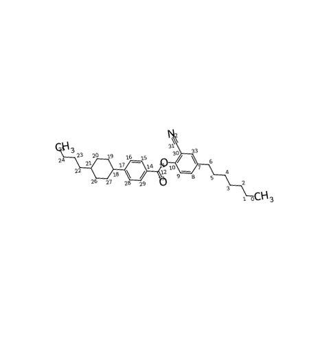 CCCCCCCc1ccc(OC(=O)c2ccc(C3CCC(CCCC)CC3)cc2)c(C#N)c1